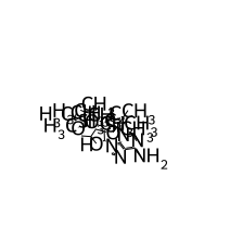 CC(C)(C)[Si](C)(C)O[C@@]1(C)C2O[Si](C(C)(C)C)(C(C)(C)C)OC[C@H]2O[C@H]1n1cnc2c(N)ncnc21